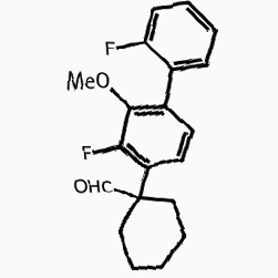 COc1c(-c2ccccc2F)ccc(C2(C=O)CCCCC2)c1F